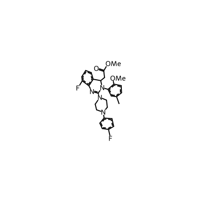 COC(=O)CC1c2cccc(F)c2N=C(N2CCN(c3ccc(F)cc3)CC2)N1c1cc(C)ccc1OC